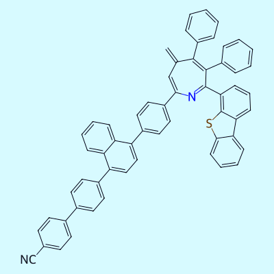 C=C1C=C(c2ccc(-c3ccc(-c4ccc(-c5ccc(C#N)cc5)cc4)c4ccccc34)cc2)N=C(c2cccc3c2sc2ccccc23)C(c2ccccc2)=C1c1ccccc1